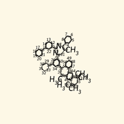 CC1=C(c2ccccc2)N=C(c2cccc(-c3ccccc3)c2)N=C(c2cc(C3C=CCCC3)cc(C3CC(C)c4cc5c(cc4-c4ccccc43)C(C)(C)CCC5(C)C)c2)C1